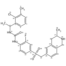 Cc1cccc(C(C)NC(=O)Nc2ccc(S(=O)(=O)Cc3ccc4c(c3)CC(C)NC4)cc2F)c1Cl